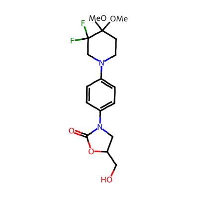 COC1(OC)CCN(c2ccc(N3CC(CO)OC3=O)cc2)CC1(F)F